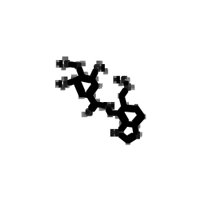 COCc1ccc2nc[nH]c2c1CNC(=O)c1cc(C)c(OC)c(C)c1